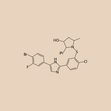 CC(C)C1C(O)CC(C)N1Sc1cc(-c2ncc(-c3ccc(Br)c(F)c3)[nH]2)ccc1Cl